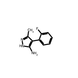 Cc1n[nH]c(N)c1-c1ccccc1F